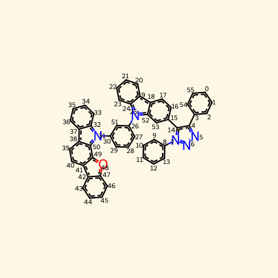 c1ccc(-c2nnn(-c3ccccc3)c2-c2ccc3c4ccccc4n(-c4cccc(-n5c6ccccc6c6ccc7c8ccccc8oc7c65)c4)c3c2)cc1